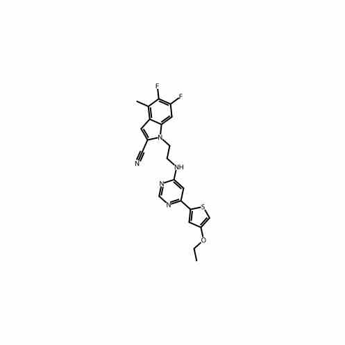 CCOc1csc(-c2cc(NCCn3c(C#N)cc4c(C)c(F)c(F)cc43)ncn2)c1